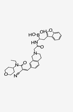 CCN(C(=O)C(C#N)=Cc1ccc2c(c1)CN(CC(=O)NC(Cc1coc3ccccc13)B(O)O)CC2)C1CCOCC1